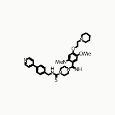 CNc1cc(OCCN2CCCCC2)c(OC)cc1C(=N)N1CCN(C(=S)NCc2ccc(-c3ccncc3)cc2)CC1